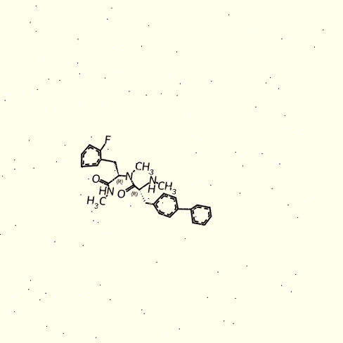 CNC(=O)[C@@H](Cc1ccccc1F)N(C)C(=O)[C@@H](Cc1ccc(-c2ccccc2)cc1)NC